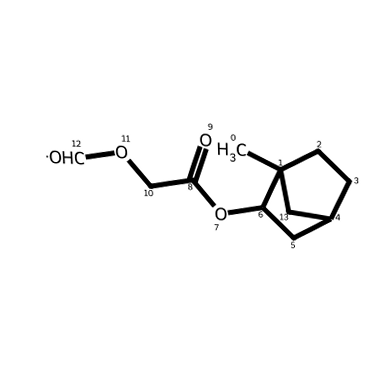 CC12CCC(CC1OC(=O)CO[C]=O)C2